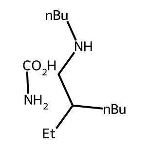 CCCCNCC(CC)CCCC.NC(=O)O